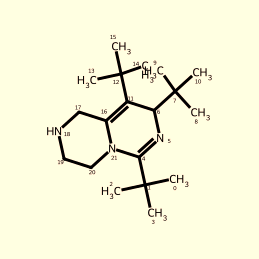 CC(C)(C)C1=NC(C(C)(C)C)C(C(C)(C)C)=C2CNCCN12